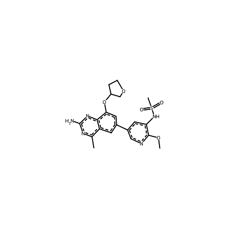 COc1ncc(-c2cc(OC3CCOC3)c3nc(N)nc(C)c3c2)cc1NS(C)(=O)=O